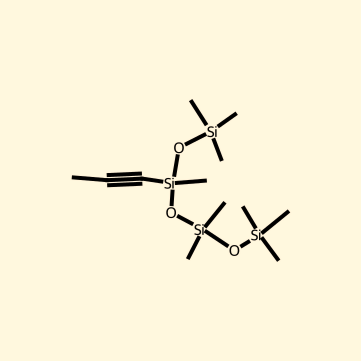 CC#C[Si](C)(O[Si](C)(C)C)O[Si](C)(C)O[Si](C)(C)C